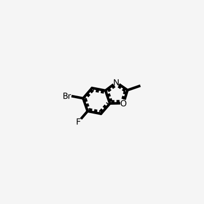 Cc1nc2cc(Br)c(F)cc2o1